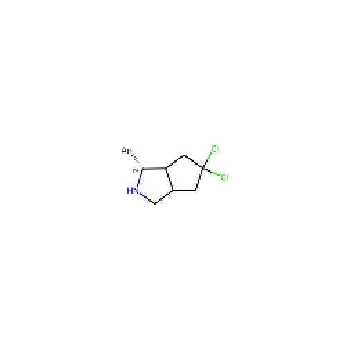 CC(=O)[C@H]1NCC2CC(Cl)(Cl)CC21